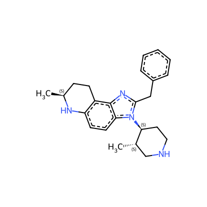 C[C@H]1CCc2c(ccc3c2nc(Cc2ccccc2)n3[C@H]2CCNC[C@@H]2C)N1